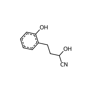 N#CC(O)CCc1ccccc1O